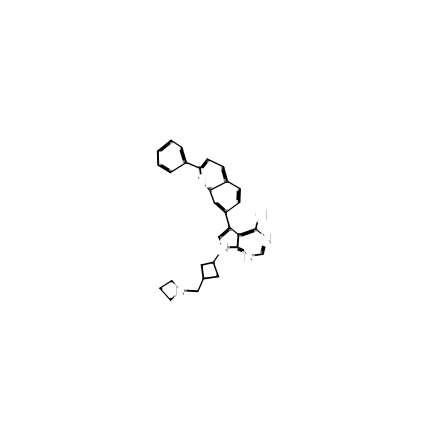 Cc1ncnc2c1c(-c1ccc3ccc(-c4ccccc4)nc3c1)cn2C1CC(CN2CCC2)C1